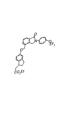 CCOC(=O)CC1CCc2cc(OCc3cccc4c3CN(c3ccc(OC(F)(F)F)cc3)C4=O)ccc21